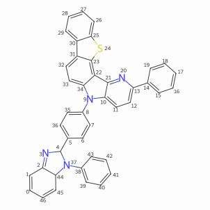 C1=CC2=NC(c3ccc(-n4c5ccc(-c6ccccc6)nc5c5c6sc7ccccc7c6ccc54)cc3)N(c3ccccc3)C2C=C1